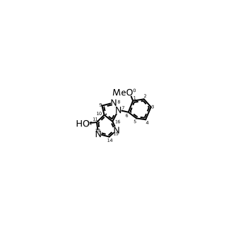 COc1ccccc1-n1ncc2c(O)ncnc21